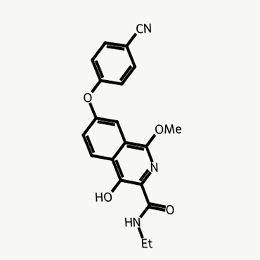 CCNC(=O)c1nc(OC)c2cc(Oc3ccc(C#N)cc3)ccc2c1O